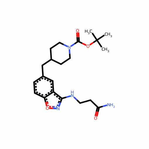 CC(C)(C)OC(=O)N1CCC(Cc2ccc3onc(NCCC(N)=O)c3c2)CC1